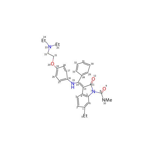 CCc1ccc2c(c1)N(C(=O)NC)C(=O)C2=C(Nc1ccc(OCCN(CC)CC)cc1)c1ccccc1